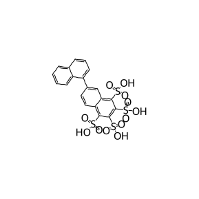 O=S(=O)(O)c1c(S(=O)(=O)O)c(S(=O)(=O)O)c2cc(-c3cccc4ccccc34)ccc2c1S(=O)(=O)O